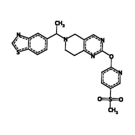 CC(c1ccc2scnc2c1)N1CCc2nc(Oc3ccc(S(C)(=O)=O)cn3)ncc2C1